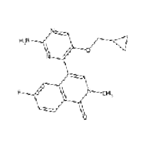 Cn1cc(-c2nc(N)ncc2OCC2CC2)c2cc(F)ccc2c1=O